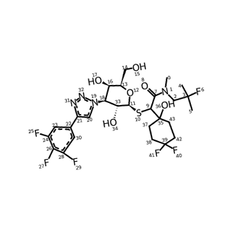 CN(CC(C)(C)F)C(=O)C(S[C@@H]1O[C@H](CO)[C@H](O)[C@H](n2cc(-c3cc(F)c(F)c(F)c3)nn2)[C@H]1O)C1(O)CCC(F)(F)CC1